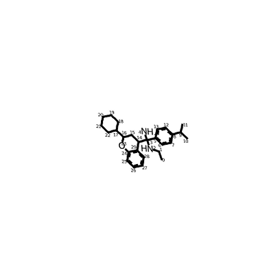 CCNC(N)(c1ccc(C(C)C)cc1)C1CC(C2CCCCC2)Oc2ccccc21